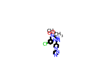 COC(=O)N1Cc2cc(Cl)ccc2-n2c(C3CCN(c4ccncn4)CC3)nnc2C1C